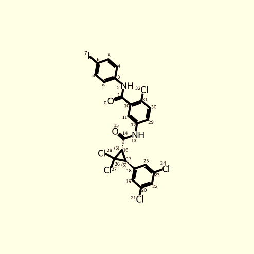 O=C(Nc1ccc(I)cc1)c1cc(NC(=O)[C@@H]2[C@@H](c3cc(Cl)cc(Cl)c3)C2(Cl)Cl)ccc1Cl